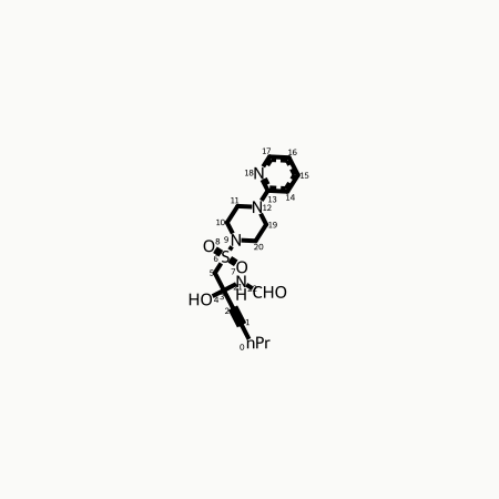 CCCC#CC(O)(CS(=O)(=O)N1CCN(c2ccccn2)CC1)NC=O